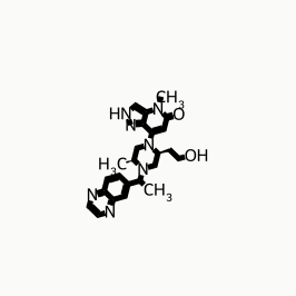 CC(c1ccc2nccnc2c1)N1C[C@H](CCO)N(c2cc(=O)n(C)c3c[nH]nc23)C[C@H]1C